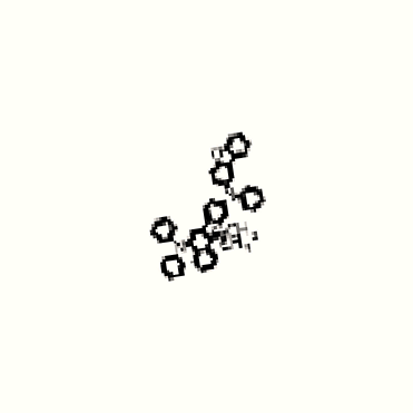 C[Si]1(C)c2cc(N(c3ccccc3)c3ccc4oc5ccccc5c4c3)ccc2-c2cc(N(c3ccccc3)c3ccccc3)c3ccccc3c21